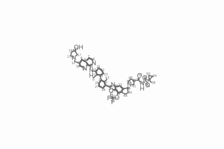 Cc1c(Nc2nccc3cc(CN4CC[C@@H](O)C4)cnc23)cccc1-c1cccc(-c2nc3cc4c(c(OC(F)(F)F)c3o2)CC[C@H]4N2CC[C@@H](C(=O)NS(=O)(=O)C3(C)CC3)C2)c1C